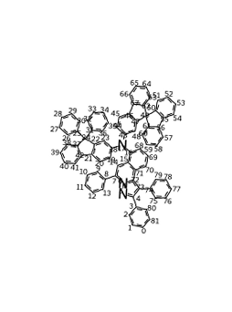 c1ccc(-c2nn3c(-c4ccccc4)cc4c(N(c5ccc6c(c5)C(c5ccccc5)(c5ccccc5)c5ccccc5-6)c5ccc6c(c5)C5(c7ccccc7-c7ccccc75)c5ccccc5-6)cccc4c3c2-c2ccccc2)cc1